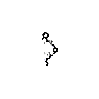 C=C/C=C\C=C(/N)Sc1ccc(/C=N/NC(=O)c2ccccc2C)o1